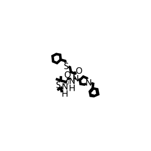 CC1(C)N[C@H](C(=O)NN(C(=O)CCSCC2CCCCC2)C2CCN(Cc3ccccc3)CC2)C(C)(C)S1